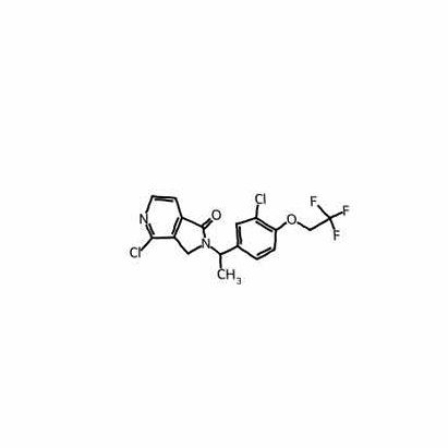 CC(c1ccc(OCC(F)(F)F)c(Cl)c1)N1Cc2c(ccnc2Cl)C1=O